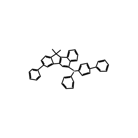 CC1(C)c2ccc(-c3ccccc3)cc2-c2cc(N(c3ccccc3)c3ccc(-c4ccccc4)cc3)c3ccccc3c21